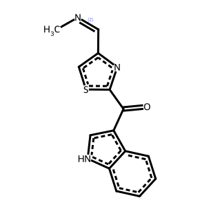 C/N=C\c1csc(C(=O)c2c[nH]c3ccccc23)n1